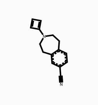 N#Cc1ccc2c(c1)CCN(C1=CC=C1)CC2